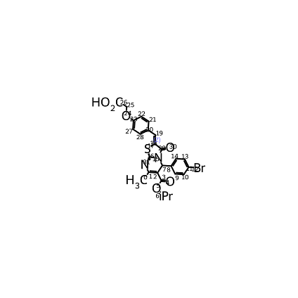 CC1=C(C(=O)OC(C)C)C(c2ccc(Br)cc2)n2c(s/c(=C\c3ccc(OCC(=O)O)cc3)c2=O)=N1